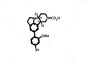 COc1cc(C(C)C)ccc1-c1cc2c3c(c1)[C@H]1CN(C(=O)O)CC[C@H]1N3CC2